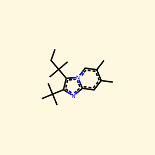 CCC(C)(C)c1c(C(C)(C)C)nc2cc(C)c(C)cn12